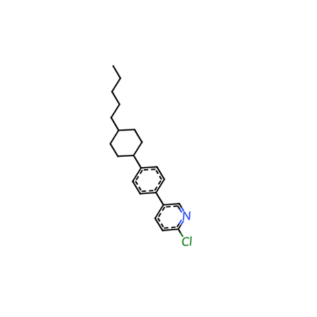 CCCCCC1CCC(c2ccc(-c3ccc(Cl)nc3)cc2)CC1